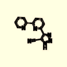 N#Cc1[nH]nnc1-c1cccc(-c2ccccn2)n1